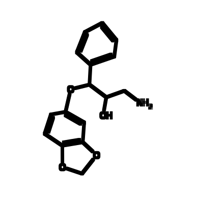 NCC(O)C(Oc1ccc2c(c1)OCO2)c1ccccc1